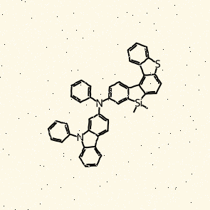 C[Si]1(C)c2cc(N(c3ccccc3)c3ccc4c5ccccc5n(-c5ccccc5)c4c3)ccc2-c2c1ccc1sc3ccccc3c21